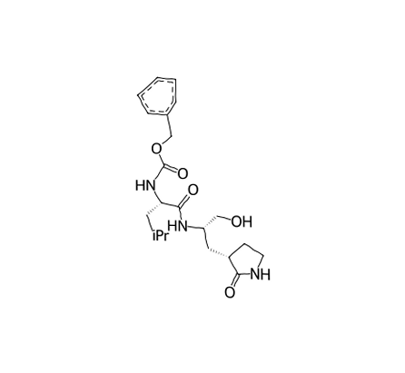 CC(C)C[C@H](NC(=O)OCc1ccccc1)C(=O)N[C@H](CO)C[C@@H]1CCNC1=O